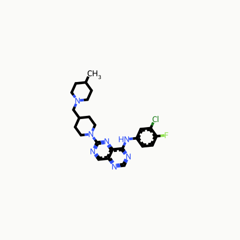 CC1CCN(CC2CCN(c3ncc4ncnc(Nc5ccc(F)c(Cl)c5)c4n3)CC2)CC1